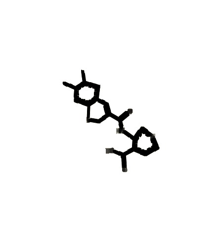 Cc1cc2c(cc1C)SCC(C(=O)Nc1cnccc1C(=O)O)=C2